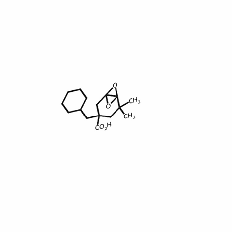 CC1(C)CC(CC2CCCCC2)(C(=O)O)CC23OC12O3